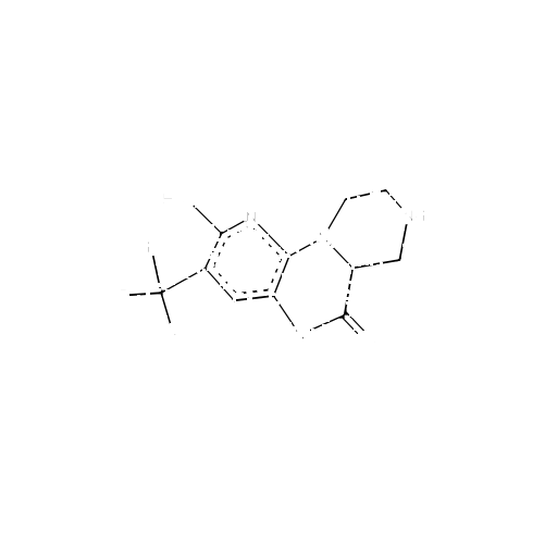 Cc1nc2c(cc1C(F)(F)F)NC(=O)C1CNCCN21